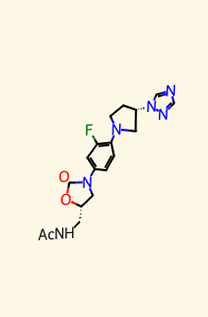 CC(=O)NC[C@H]1CN(c2ccc(N3CC[C@H](n4cncn4)C3)c(F)c2)C(=O)O1